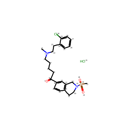 CN(CCCCC(=O)c1ccc2c(c1)CN(S(C)(=O)=O)CC2)CCc1ccccc1Cl.Cl